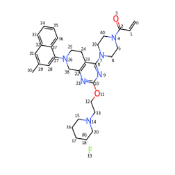 C=CC(=O)N1CCN(c2nc(OCCN3CCC[C@@H](F)C3)nc3c2CCN(c2cc(C)cc4ccccc24)C3)CC1